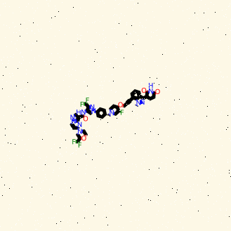 Cn1nc(C2CCC(=O)NC2=O)c2cccc(C#CCO[C@@H]3CCN(C[C@H]4CC[C@H](n5cc(NC(=O)c6cnn7ccc(N8CCOC(C(F)F)C8)nc67)c(C(F)F)n5)CC4)C[C@@H]3F)c21